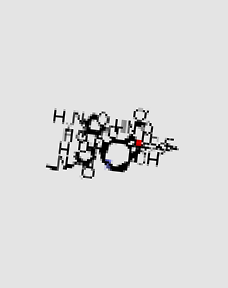 CCNC[C@H]1CO[C@@H](O[C@H]2[C@H](O[C@H]3C#C/C=C\C#C[C@]4(O)CC(=O)C(NC(=O)OC)=C3C4CCSSSC)OC[C@@H](N)[C@@H]2O)C[C@@H]1OC